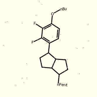 CCCCCC1CCC2C(c3ccc(OCCCC)c(F)c3F)CCC12